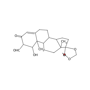 CC12C(=CC(=O)C(C=O)C1O)CCC1C2CCC2(C)C1CCC21OCOC12COCO2